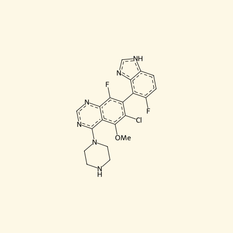 COc1c(Cl)c(-c2c(F)ccc3[nH]cnc23)c(F)c2ncnc(N3CCNCC3)c12